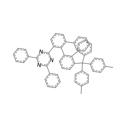 Cc1ccc(C2(c3ccc(C)cc3)c3ccccc3-c3c(-c4c(-c5ccccc5)cccc4-c4nc(-c5ccccc5)nc(-c5ccccc5)n4)cccc32)cc1